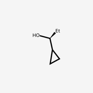 [CH2-][CH+][C@H](O)C1CC1